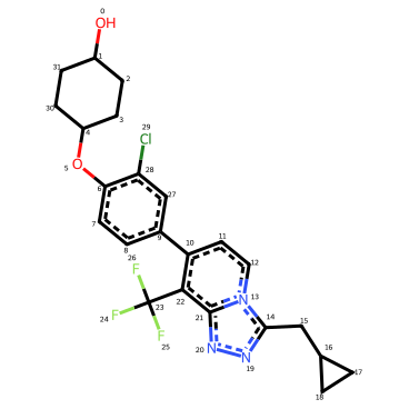 OC1CCC(Oc2ccc(-c3ccn4c(CC5CC5)nnc4c3C(F)(F)F)cc2Cl)CC1